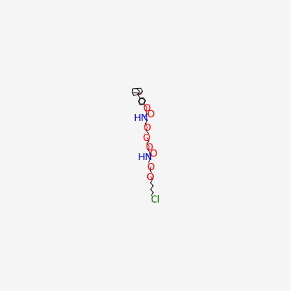 O=C(COCCOCCOCCNC(=O)COc1ccc(C23CC4CC(CC(C4)C2)C3)cc1)NCCOCCOCCCCCCCl